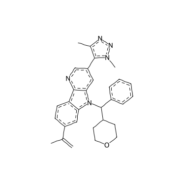 C=C(C)c1ccc2c3ncc(-c4c(C)nnn4C)cc3n(C(c3ccccc3)C3CCOCC3)c2c1